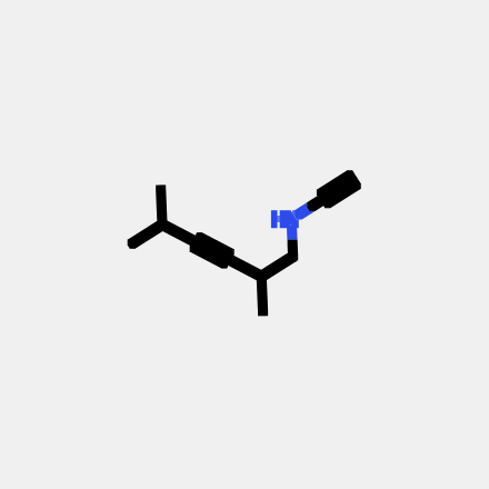 C#CNCC(C)C#CC(C)C